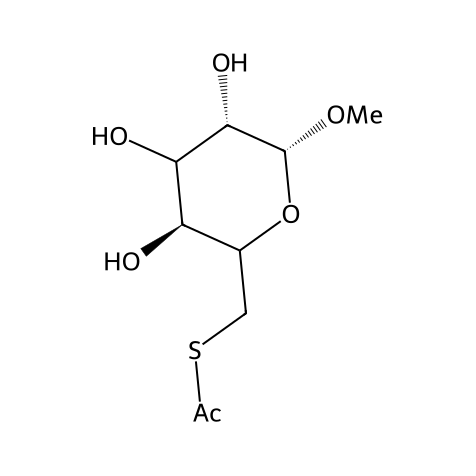 CO[C@@H]1OC(CSC(C)=O)[C@@H](O)C(O)[C@@H]1O